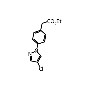 CCOC(=O)Cc1ccc(-n2cc(Cl)cn2)cc1